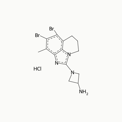 Cc1c(Br)c(Br)c2c3c1nc(N1CC(N)C1)n3CCC2.Cl